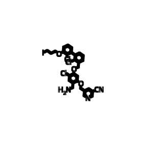 N#Cc1cncc(COc2cc(OCc3cccc(-c4cccc(OCCCI)c4Cl)c3Cl)c(Cl)cc2CN)c1